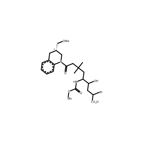 COC[C@H]1Cc2ccccc2N(C(=O)CC(C)(C)CC(NC(=O)OC(C)(C)C)C(O)CC(C(=O)O)C(C)C)C1